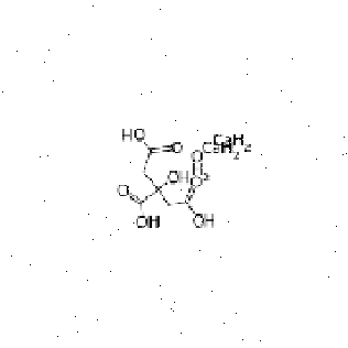 O.O=C(O)CC(O)(CC(=O)O)C(=O)O.[CaH2].[CaH2]